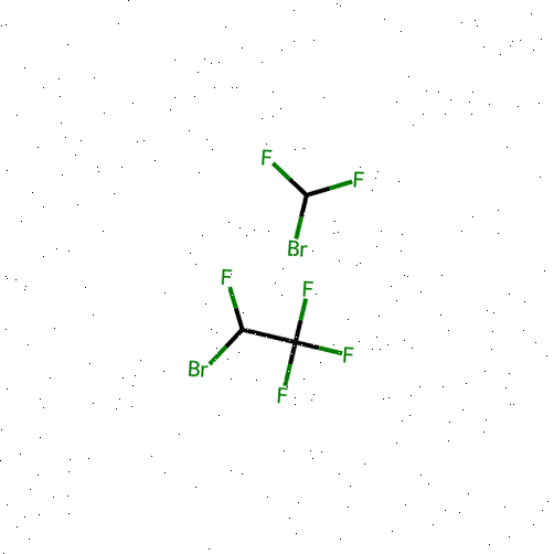 FC(Br)C(F)(F)F.FC(F)Br